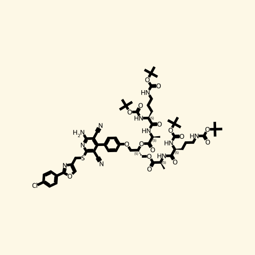 C[C@H](NC(=O)[C@H](CCCNC(=O)OC(C)(C)C)NC(=O)OC(C)(C)C)C(=O)OC[C@H](COc1ccc(-c2c(C#N)c(N)nc(SCc3coc(-c4ccc(Cl)cc4)n3)c2C#N)cc1)OC(=O)[C@H](C)NC(=O)[C@H](CCCNC(=O)OC(C)(C)C)NC(=O)OC(C)(C)C